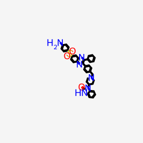 Nc1ccc(S(=O)(=O)c2ccc3nc(-c4ccc(CN5CCC(n6c(=O)[nH]c7ccccc76)CC5)cc4)c(-c4ccccc4)nc3c2)cc1